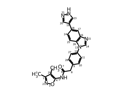 Cc1noc(NC(=O)Cc2ccc(-n3cnc4cc(-c5cn[nH]c5)ccc43)cc2)c1C